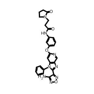 Nc1nonc1-c1nc2cnc(Oc3cccc(NC(=O)CCN4CCCC4=O)c3)cc2n1-c1ccccc1